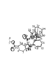 CCOC(=O)C1CCc2nn(-c3ccccc3)c(C(=O)NC(C)C34CC5CC(CC(C5)C3)C4)c2C1